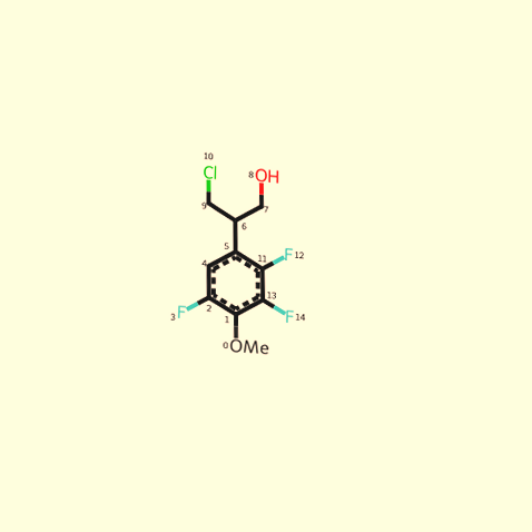 COc1c(F)cc(C(CO)CCl)c(F)c1F